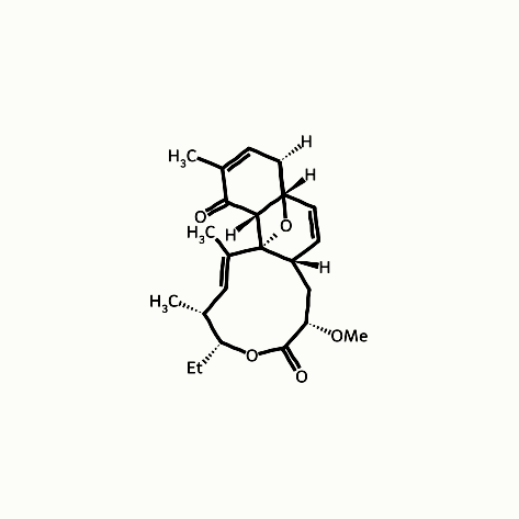 CC[C@H]1OC(=O)[C@@H](OC)C[C@H]2C=C[C@H]3[C@@H]4C=C(C)C(=O)[C@H]3[C@]2(O4)/C(C)=C/[C@H]1C